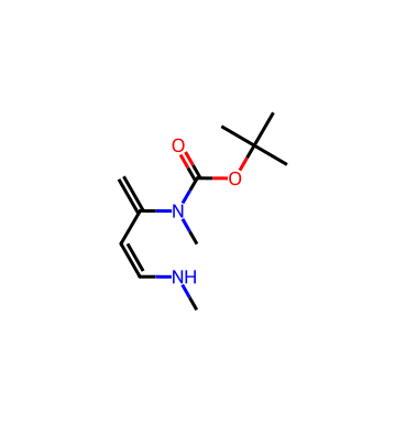 C=C(/C=C\NC)N(C)C(=O)OC(C)(C)C